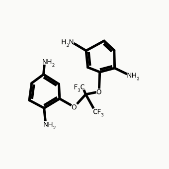 Nc1ccc(N)c(OC(Oc2cc(N)ccc2N)(C(F)(F)F)C(F)(F)F)c1